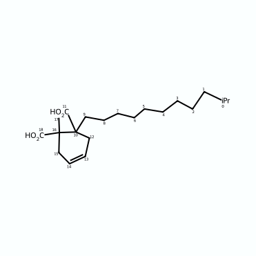 CC(C)CCCCCCCCCC1(C(=O)O)CC=CCC1(C)C(=O)O